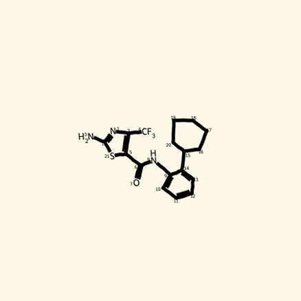 Nc1nc(C(F)(F)F)c(C(=O)Nc2ccccc2C2CCCCC2)s1